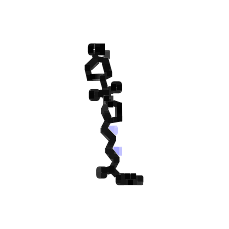 COC(=O)/C=C/C=C/c1ccn(S(=O)(=O)c2ccc(C)cc2)c1